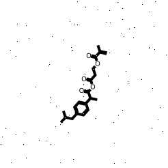 C=C(C)C(=O)OCCC(=O)OC(=O)C(C)c1ccc(CC(C)C)cc1